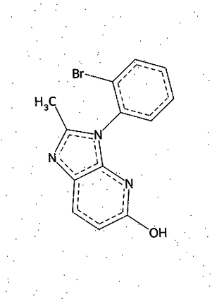 Cc1nc2ccc(O)nc2n1-c1ccccc1Br